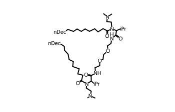 CCCCCCCCCCCCCCCCCCCC(=O)N(CCN(C)C)C(C(=O)NCCOCCOCCNC(=O)C(C(C)C)N(CCN(C)C)C(=O)CCCCCCCCCCCCCCCCCCC)C(C)C